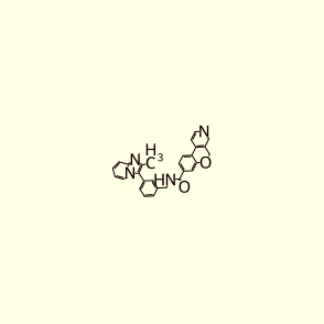 Cc1nc2ccccn2c1-c1cccc(CNC(=O)c2ccc3c(c2)OCc2cnccc2-3)c1